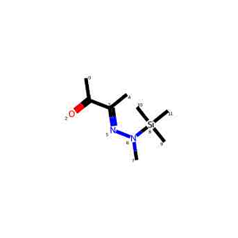 CC(=O)/C(C)=N/N(C)[Si](C)(C)C